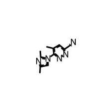 Cc1cn(-c2nnc(C#N)cc2C)c(C)n1